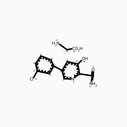 NC(=O)c1ncc(-c2cccc(Cl)c2)cc1O.NCC(=O)O